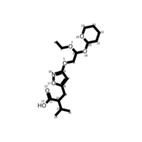 CCOC(COc1cc(CC(C(=O)O)C(C)C)on1)OC1CCCCO1